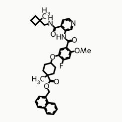 COc1cc(F)c(OC2CCC(C)(C(=O)OCc3cccc4ccccc34)CC2)cc1C(=O)Nc1cnccc1C(=O)NCC1(C)CCC1